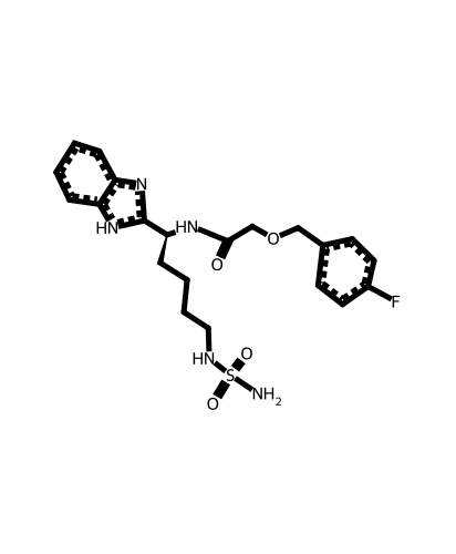 NS(=O)(=O)NCCCC[C@H](NC(=O)COCc1ccc(F)cc1)c1nc2ccccc2[nH]1